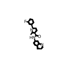 Cc1nc(-c2cccc(F)c2)ccc1C(=O)Nc1ccc2cccnc2c1